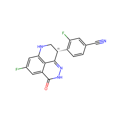 N#Cc1ccc([C@H]2CNc3cc(F)cc4c(=O)[nH]nc2c34)c(F)c1